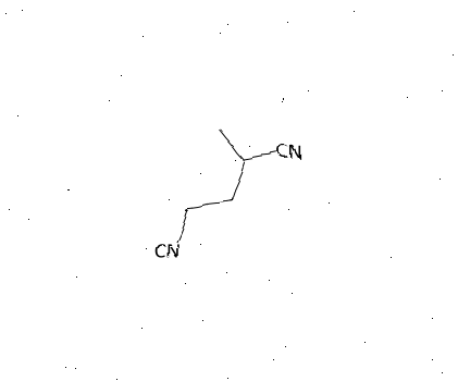 [C-]#[N+]CCC(C)C#N